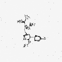 CCOc1ncc(CN(N=N)C(C)=N)cc1-c1ccc(F)cc1